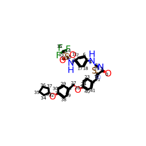 O=C1N=C(Nc2ccc(NS(=O)(=O)C(F)(F)F)cc2)S/C1=C\c1ccc(OCc2ccc(OC3CCCC3)cc2)cc1